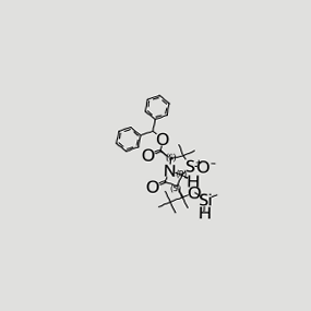 C[SiH](C)OC(C)([C@H]1C(=O)N2[C@@H]1[S+]([O-])C(C)(C)[C@@H]2C(=O)OC(c1ccccc1)c1ccccc1)C(C)(C)C